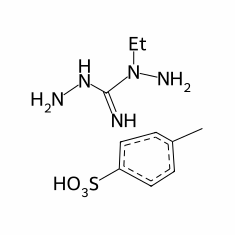 CCN(N)C(=N)NN.Cc1ccc(S(=O)(=O)O)cc1